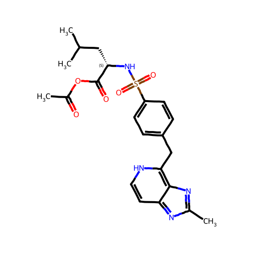 CC(=O)OC(=O)[C@H](CC(C)C)NS(=O)(=O)c1ccc(Cc2[nH]ccc3nc(C)nc2-3)cc1